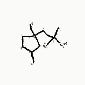 CCC(C)(O)CC1(C)CCC(C)C1